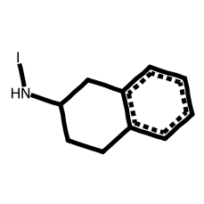 INC1CCc2ccccc2C1